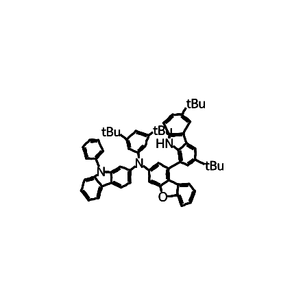 CC(C)(C)c1cc(N(c2cc(-c3cc(C(C)(C)C)cc4c3[nH]c3ccc(C(C)(C)C)cc34)c3c(c2)oc2ccccc23)c2ccc3c4ccccc4n(-c4ccccc4)c3c2)cc(C(C)(C)C)c1